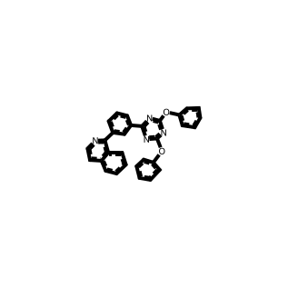 c1ccc(Oc2nc(Oc3ccccc3)nc(-c3cccc(-c4nccc5ccccc45)c3)n2)cc1